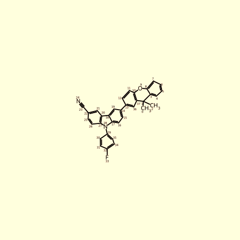 CC1(C)c2ccccc2Oc2ccc(-c3ccc4c(c3)c3cc(C#N)ccc3n4-c3ccc(F)cc3)cc21